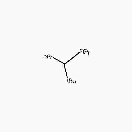 CCCC(CCC)C(C)(C)C